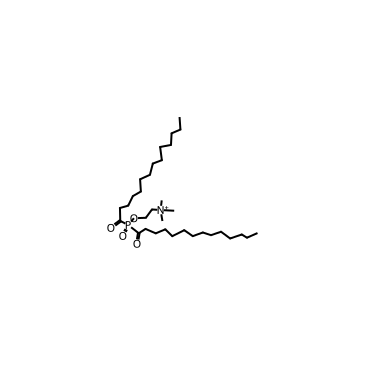 CCCCCCCCCCCCCC(=O)P(=O)(OCC[N+](C)(C)C)C(=O)CCCCCCCCCCCCC